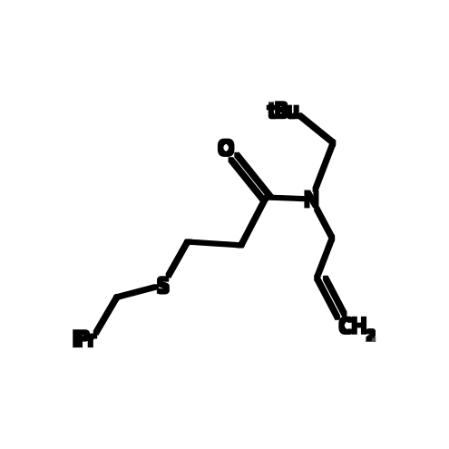 C=CCN(CC(C)(C)C)C(=O)CCSCC(C)C